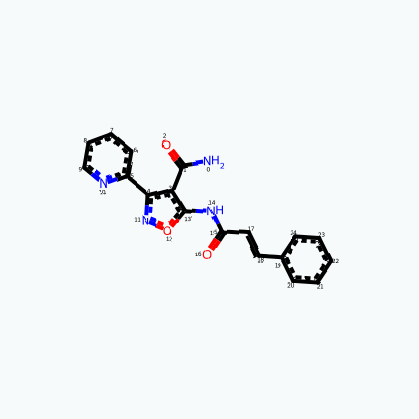 NC(=O)c1c(-c2ccccn2)noc1NC(=O)/C=C/c1ccccc1